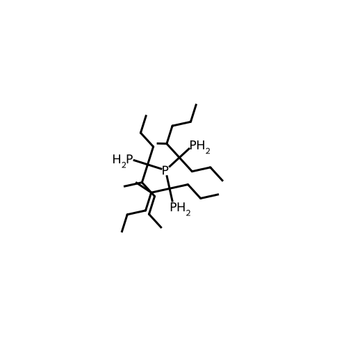 CCCC(C)C(P)(CCC)P(C(P)(CCC)C(C)CCC)C(P)(CCC)C(C)CCC